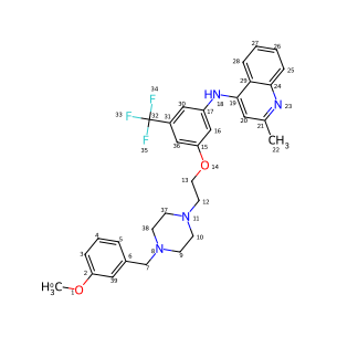 COc1cccc(CN2CCN(CCOc3cc(Nc4cc(C)nc5ccccc45)cc(C(F)(F)F)c3)CC2)c1